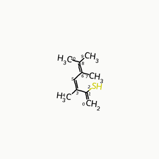 C=C(S)/C(C)=C\C(C)=C(C)C